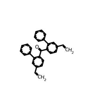 C=Cc1ccc(C(=O)c2ccc(C=C)cc2-c2ccccc2)c(-c2ccccc2)c1